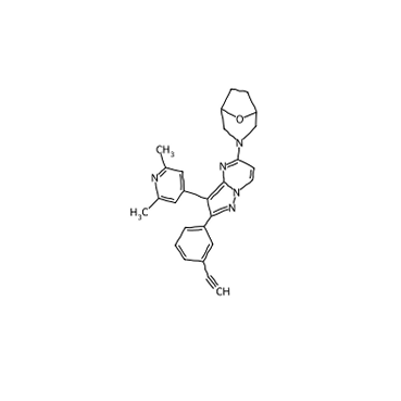 C#Cc1cccc(-c2nn3ccc(N4CC5CCC(C4)O5)nc3c2-c2cc(C)nc(C)c2)c1